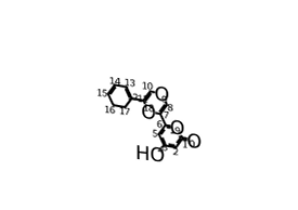 O=c1cc(O)cc(C2=COC=C(C3=CC=CCC3)O2)o1